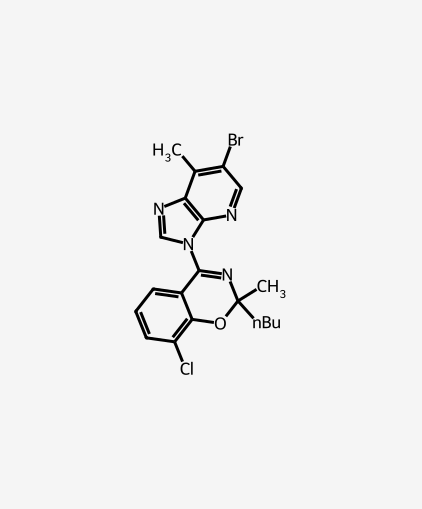 CCCCC1(C)N=C(n2cnc3c(C)c(Br)cnc32)c2cccc(Cl)c2O1